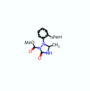 CCCCCc1ccccc1N1C(C)NC(=O)N1C(=O)OC